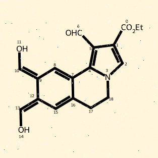 CCOC(=O)c1cn2c(c1C=O)-c1cc(=CO)c(=CO)cc1CC2